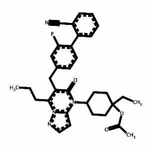 CCCc1c(Cc2ccc(-c3ccccc3C#N)c(F)c2)c(=O)n(C2CCC(CC)(OC(C)=O)CC2)c2ccnn12